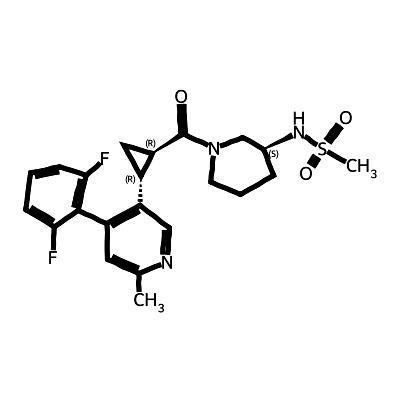 Cc1cc(-c2c(F)cccc2F)c([C@@H]2C[C@H]2C(=O)N2CCC[C@H](NS(C)(=O)=O)C2)cn1